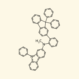 CN(c1ccc2c3ccccc3n(-c3ccccc3)c2c1)c1ccccc1-c1ccc2c(c1)C(c1ccccc1)(c1ccccc1)c1ccccc1-2